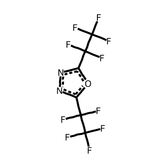 FC(F)(F)C(F)(F)c1nnc(C(F)(F)C(F)(F)F)o1